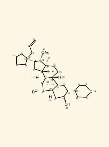 C=CC[N+]1([C@H]2C[C@H]3[C@@H]4CC[C@@H]5C[C@H](O)[C@@H](N6CCOCC6)C[C@]5(C)[C@H]4CC[C@]3(C)[C@H]2OC(C)=O)CCCC1.[Br-]